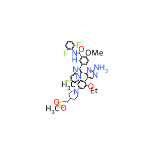 CCOc1cc(N2CCC(CCS(C)(=O)=O)CC2)c(C)cc1-c1cnc(N)nc1-c1c(-c2ccc(OC)c(C(=O)Nc3c(F)cccc3F)c2)nc2cc(F)ccn12